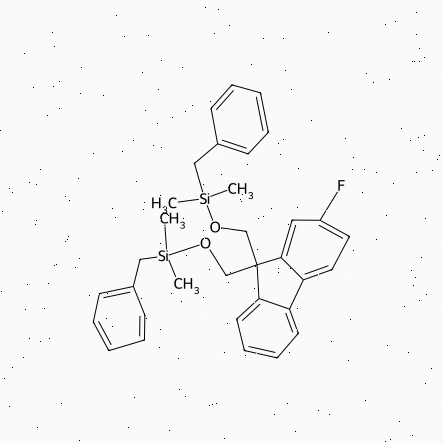 C[Si](C)(Cc1ccccc1)OCC1(CO[Si](C)(C)Cc2ccccc2)c2ccccc2-c2ccc(F)cc21